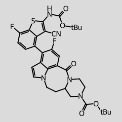 CC(C)(C)OC(=O)Nc1sc2c(F)ccc(-c3c(F)cc4c5c3ccn5CCC3CN(C(=O)OC(C)(C)C)CCN3C4=O)c2c1C#N